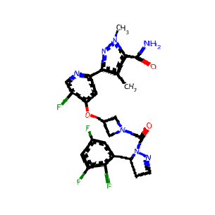 Cc1c(-c2cc(OC3CN(C(=O)N4N=CCC4c4cc(F)cc(F)c4F)C3)c(F)cn2)nn(C)c1C(N)=O